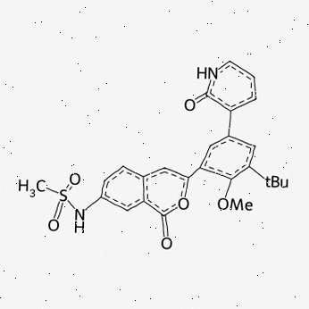 COc1c(-c2cc3ccc(NS(C)(=O)=O)cc3c(=O)o2)cc(-c2ccc[nH]c2=O)cc1C(C)(C)C